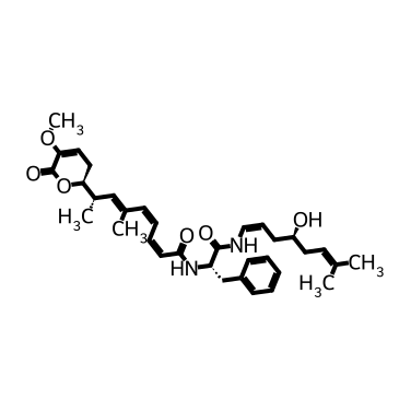 COC1=CC[C@@H]([C@@H](C)/C=C(C)/C=C\C=C/C(=O)N[C@@H](Cc2ccccc2)C(=O)N/C=C\C[C@@H](O)CC=C(C)C)OC1=O